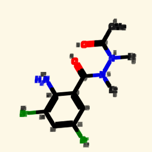 CCN(C(=O)OC)N(CC)C(=O)c1cc(Br)cc(Br)c1N